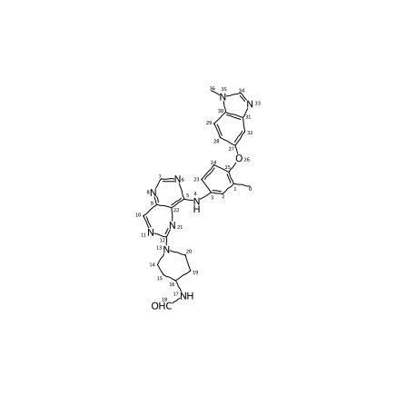 Cc1cc(Nc2ncnc3cnc(N4CCC(NC=O)CC4)nc23)ccc1Oc1ccc2c(c1)ncn2C